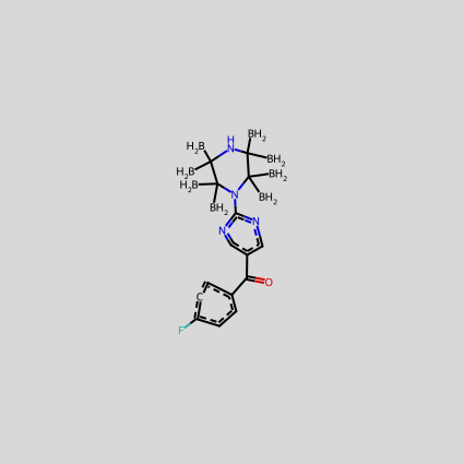 BC1(B)NC(B)(B)C(B)(B)N(c2ncc(C(=O)c3ccc(F)cc3)cn2)C1(B)B